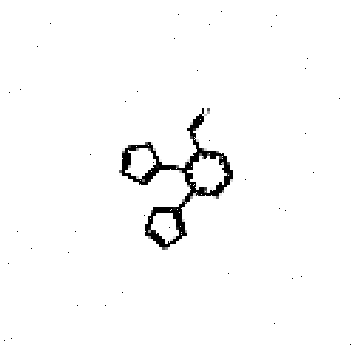 O=Cc1cccc(C2=CC=CC2)c1C1=CC=CC1